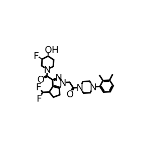 Cc1cccc(N2CCN(C(=O)Cn3nc(C(=O)N4CC[C@H](O)[C@H](F)C4)c4c3CCC4C(F)F)CC2)c1C